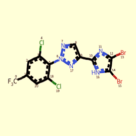 FC(F)(F)c1cc(Cl)c(-n2ncc(-c3nc(Br)c(Br)[nH]3)n2)c(Cl)c1